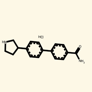 Cl.NC(=O)c1ccc(-c2ccc(C3CCNC3)cc2)cc1